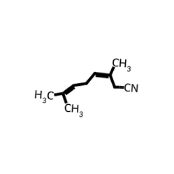 CC(C)=CC/C=C(/C)CC#N